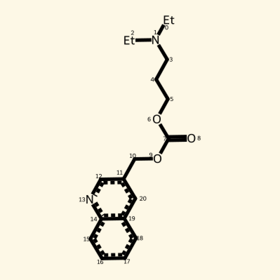 CCN(CC)CCCOC(=O)OCc1cnc2ccccc2c1